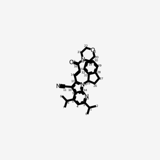 CC(C)c1cc(C(C)C)c2c(C#N)c(C=CC(=O)N3CCOCC3)n(C3CCc4ccccc43)c2n1